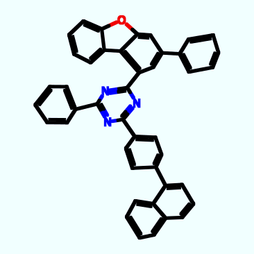 c1ccc(-c2cc(-c3nc(-c4ccccc4)nc(-c4ccc(-c5cccc6ccccc56)cc4)n3)c3c(c2)oc2ccccc23)cc1